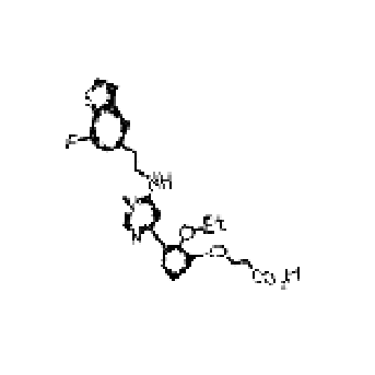 CCOc1c(OCCC(=O)O)cccc1-c1cc(NCCc2cc(F)c3sccc3c2)ncn1